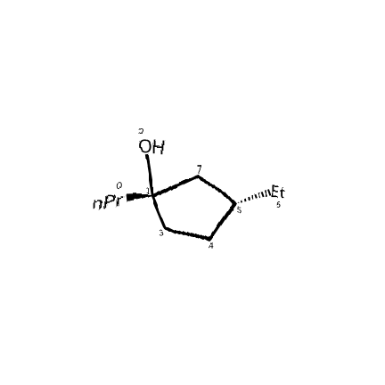 CCC[C@]1(O)CC[C@@H](CC)C1